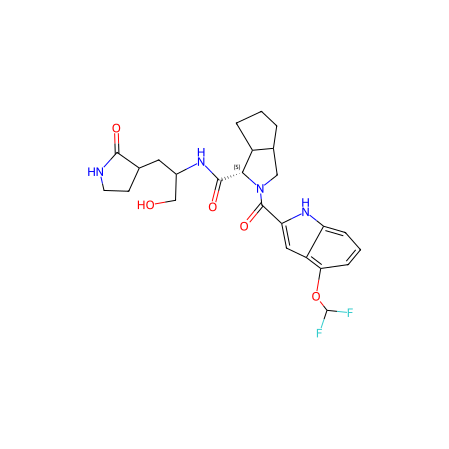 O=C1NCCC1CC(CO)NC(=O)[C@@H]1C2CCCC2CN1C(=O)c1cc2c(OC(F)F)cccc2[nH]1